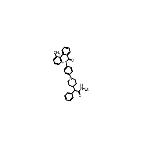 CCNC(=O)C(c1ccccc1)C1CCN(c2ccc(NC(=O)c3ccccc3-c3ccccc3C)cc2)CC1